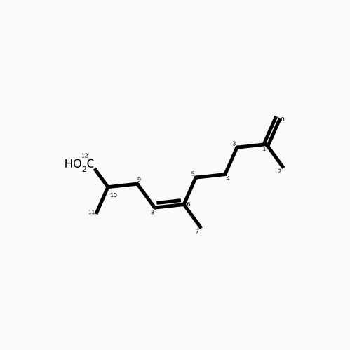 C=C(C)CCCC(C)=CCC(C)C(=O)O